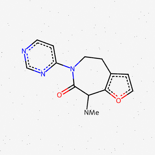 CNC1C(=O)N(c2ccncn2)CCc2ccoc21